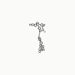 Cc1cc(C2COc3cc(O)ccc3C2c2ccc(OCCCCCN3CCN(c4ccc5c(c4)CN(C4CCC(=O)NC4=O)C5=O)CC3)cc2)ccc1F